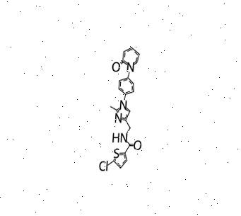 Cc1nc(CNC(=O)c2ccc(Cl)s2)cn1-c1ccc(-n2ccccc2=O)cc1